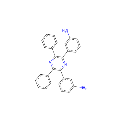 Nc1cccc(-c2nc(-c3cccc(N)c3)c(-c3ccccc3)nc2-c2ccccc2)c1